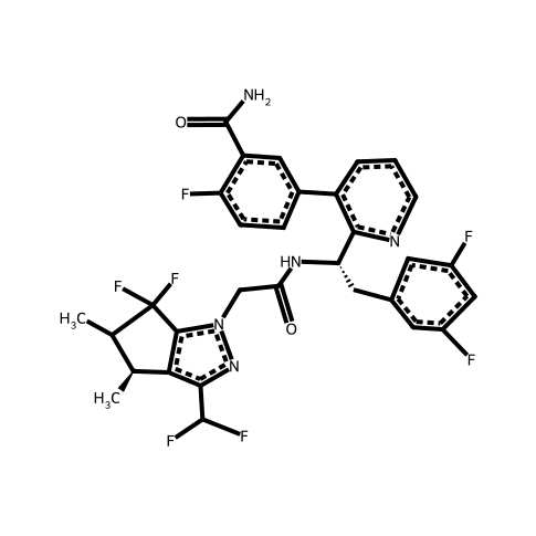 CC1[C@H](C)c2c(C(F)F)nn(CC(=O)N[C@@H](Cc3cc(F)cc(F)c3)c3ncccc3-c3ccc(F)c(C(N)=O)c3)c2C1(F)F